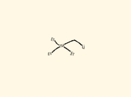 [Li][CH2][Si](CC)(CC)CC